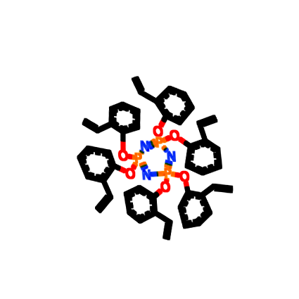 C=Cc1ccccc1OP1(Oc2ccccc2C=C)=NP(Oc2ccccc2C=C)(Oc2ccccc2C=C)=NP(Oc2ccccc2C=C)(Oc2ccccc2C=C)=N1